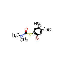 CN(C)C(=O)Sc1cc([N+](=O)[O-])c(C=O)cc1Br